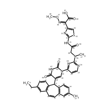 CCc1ccc2c(c1)C=Cc1cc(C)ccc1C2c1cn(-c2ccnc(N(C)CC(=O)Nc3nc(C(=NOC)C(=O)O)cs3)n2)c(=O)[nH]c1=O